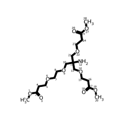 COC(=O)CCOCCOCC(N)(COCCC(=O)OC)COCCC(=O)OC